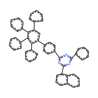 c1ccc(-c2nc(-c3ccc(-c4cc(-c5ccccc5)c(-c5ccccc5)c(-c5ccccc5)c4-c4ccccc4)cc3)nc(-c3cccc4ccccc34)n2)cc1